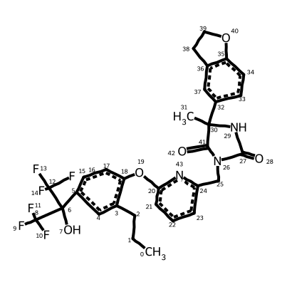 CCCc1cc(C(O)(C(F)(F)F)C(F)(F)F)ccc1Oc1cccc(CN2C(=O)NC(C)(c3ccc4c(c3)CCO4)C2=O)n1